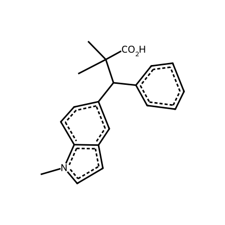 Cn1ccc2cc(C(c3ccccc3)C(C)(C)C(=O)O)ccc21